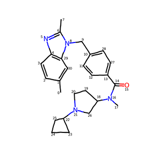 Cc1ccc2nc(C)n(Cc3ccc(C(=O)N(C)C4CCN(C5CCC5)C4)cc3)c2c1